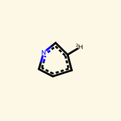 [2H]c1cccnc1